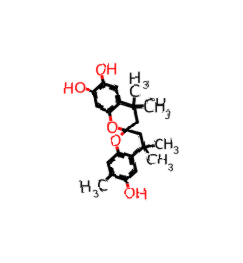 Cc1cc2c(cc1O)C(C)(C)CC1(CC(C)(C)c3cc(O)c(O)cc3O1)O2